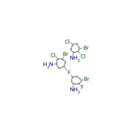 Cc1cc(N)c(Cl)c(Br)c1.Nc1cc(Cl)cc(Br)c1Cl.Nc1cc(F)cc(Br)c1F